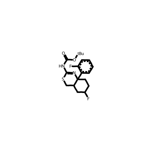 CC(C)(C)OC(=O)NC1=NC2(c3ccccc3F)CCC(F)CC2CS1